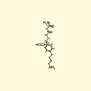 Cl.Cl.NCCCCc1ccc(OCCNCC(N)=O)cc1